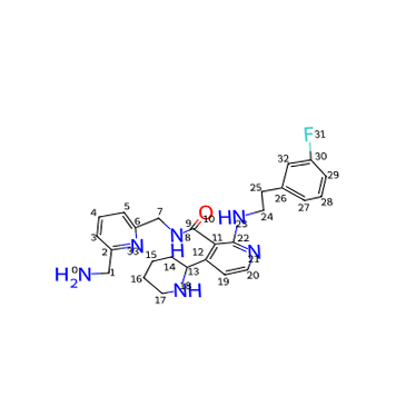 NCc1cccc(CNC(=O)c2c(C3CCCCN3)ccnc2NCCc2cccc(F)c2)n1